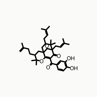 C=C(C)CCC1CC23CC(CC=C(C)C)C(C)(C)C(CC=C(C)C)(C(=O)C(C(=O)c4ccc(O)c(O)c4)=C2OC1(C)C)C3=O